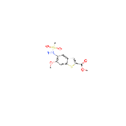 COC(=O)c1cc2cc(NS(C)(=O)=O)c(OC)cc2s1